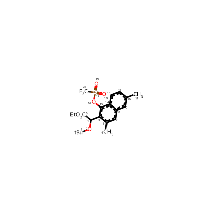 CCOC(=O)C(OC(C)(C)C)c1c(C)cc2cc(C)ccc2c1OS(=O)(=O)C(F)(F)F